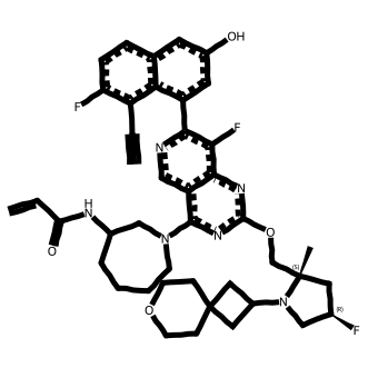 C#Cc1c(F)ccc2cc(O)cc(-c3ncc4c(N5CCCCC(NC(=O)C=C)C5)nc(OC[C@]5(C)C[C@@H](F)CN5C5CC6(CCOCC6)C5)nc4c3F)c12